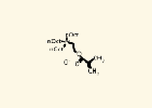 C=C(C)C(=O)OCC[P+](CCCCCCCC)(CCCCCCCC)CCCCCCCC.[Cl-]